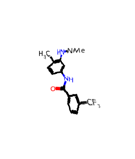 CNNc1cc(NC(=O)c2cccc(C(F)(F)F)c2)ccc1C